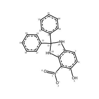 O=[N+]([O-])c1c(O)ccc2c1NC(c1ccccc1)(c1ccccc1)N2